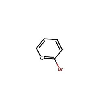 BrC1=[C+]C=CC=C1